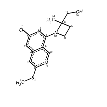 CSc1cc2cc(Cl)nc(N3CCC3(C)CO)c2cn1